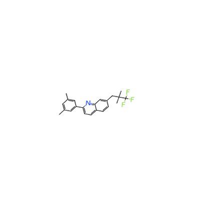 Cc1cc(C)cc(-c2ccc3ccc(CC(C)(C)C(F)(F)F)cc3n2)c1